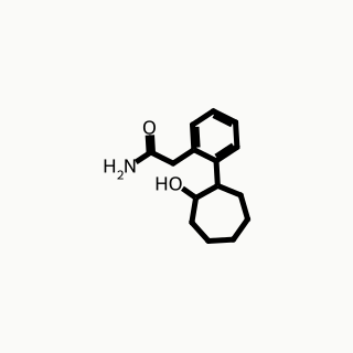 NC(=O)Cc1ccccc1C1CCCCCC1O